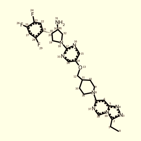 CCc1nnc2cc(N3CCC(COc4cnc(N5C[C@H](c6cc(F)c(F)cc6F)[C@@H](N)C5)nc4)CC3)ncn12